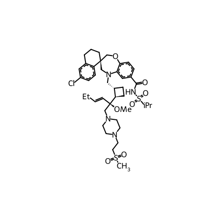 CC/C=C/[C@](CN1CCN(CCS(C)(=O)=O)CC1)(OC)[C@@H]1CC[C@H]1CN1C[C@@]2(CCCc3cc(Cl)ccc32)COc2ccc(C(=O)NS(=O)(=O)C(C)C)cc21